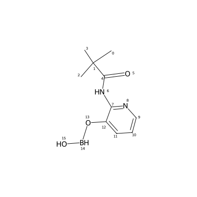 CC(C)(C)C(=O)Nc1ncccc1OBO